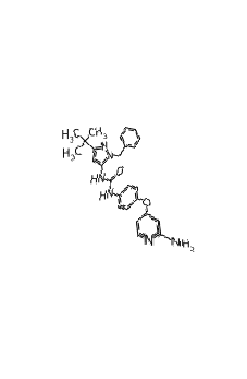 CC(C)(C)c1cc(NC(=O)Nc2ccc(Oc3ccnc(N)c3)cc2)n(Cc2ccccc2)n1